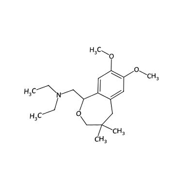 CCN(CC)CC1OCC(C)(C)Cc2cc(OC)c(OC)cc21